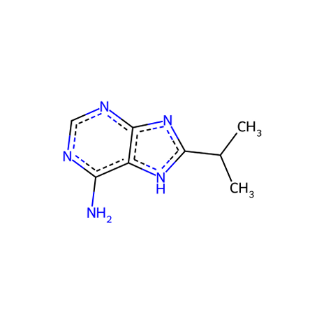 CC(C)c1nc2ncnc(N)c2[nH]1